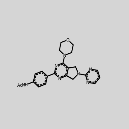 CC(=O)Nc1ccc(-c2nc3c(c(N4CCOCC4)n2)CN(c2ncccn2)C3)cc1